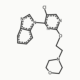 Clc1cnc(OCCN2CCOCC2)nc1-n1cnc2ccccc21